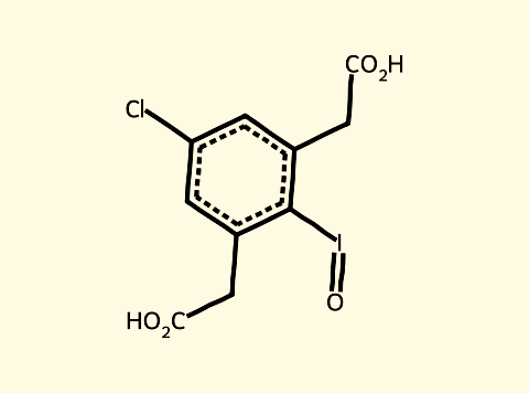 O=Ic1c(CC(=O)O)cc(Cl)cc1CC(=O)O